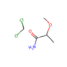 COC(C)C(N)=O.ClCCl